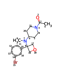 CC(=O)N1CCC(N(C)C2(c3cccc(Br)c3)COC2)CC1